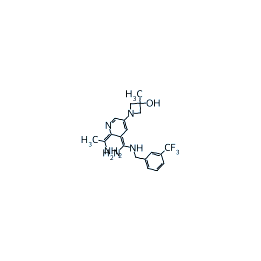 C/C(N)=c1\ncc(N2CC(C)(O)C2)c\c1=C(\N)NCc1cccc(C(F)(F)F)c1